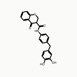 O=C(Nc1ccc(Cc2ccc(O)c(O)c2)cc1)C1CSc2ccccc2C1=O